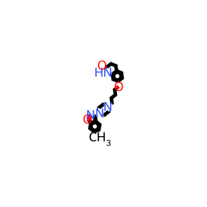 Cc1ccc2c(N3CCN(CCCCOc4ccc5c(c4)NC(=O)CC5)CC3)noc2c1